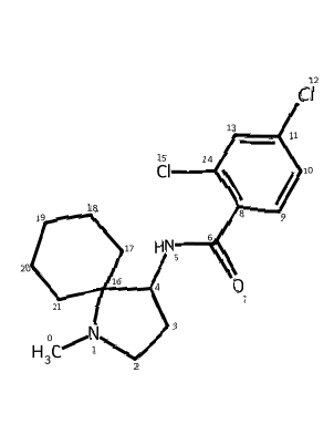 CN1CCC(NC(=O)c2ccc(Cl)cc2Cl)C12CCCCC2